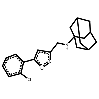 Clc1ccccc1-c1cc(CNC23CC4CC(CC(C4)C2)C3)no1